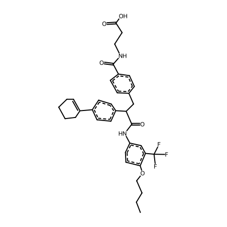 CCCCOc1ccc(NC(=O)C(Cc2ccc(C(=O)NCCC(=O)O)cc2)c2ccc(C3=CCCCC3)cc2)cc1C(F)(F)F